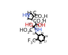 C1CCNC1.CC(=O)O.O=C(O)[C@@H](O)[C@@](O)(NCc1ccccc1C(F)(F)F)C(=O)O